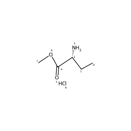 CC[C@@H](N)C(=O)OC.Cl